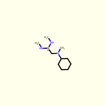 CN[SiH](CN(C)C1CCCCC1)NC